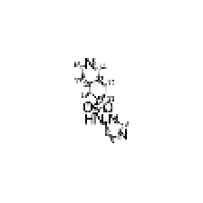 O=S(=O)(Nc1ccncn1)c1ccc2cnccc2c1